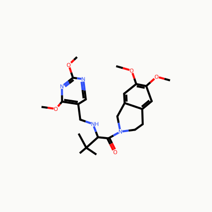 COc1ncc(CNC(C(=O)N2CCc3cc(OC)c(OC)cc3C2)C(C)(C)C)c(OC)n1